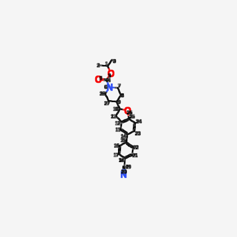 CC(C)OC(=O)N1CCC(C2Cc3cc(-c4ccc(C#N)cc4)ccc3O2)CC1